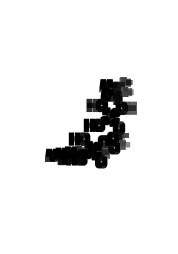 O=P(O)(O)O.O=P(O)(O)O.[Mg+2].[Mg+2].[Mg+2].[Mg+2].[Mg+2].[O-2].[O-2]